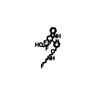 C[C@@H]1Cc2c([nH]c3ccccc23)[C@@H](c2cc(COCCNCCCF)ccn2)N1CC(F)(F)CO